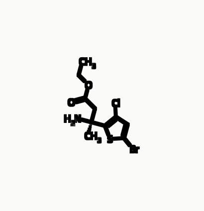 CCOC(=O)C[C@](C)(N)c1sc(Br)cc1Cl